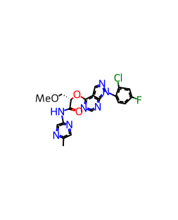 COC[C@H](Oc1ncnc2c1cnn2-c1ccc(F)cc1Cl)C(=O)Nc1cnc(C)cn1